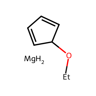 CCOC1C=CC=C1.[MgH2]